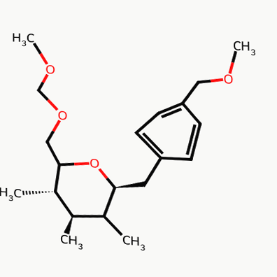 COCOCC1O[C@@H](Cc2ccc(COC)cc2)C(C)[C@@H](C)[C@@H]1C